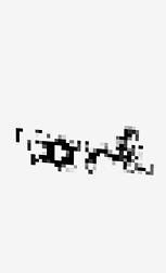 CCOP(=O)(CCC(=O)Oc1ccc(F)c(C(F)(F)F)c1)OCC